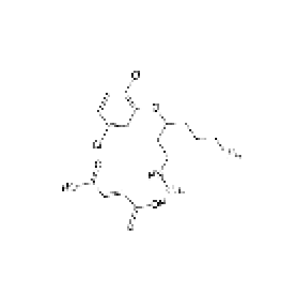 CCCCC(CCNC)Oc1cc(Cl)ccc1Cl.O=C(O)C=CC(=O)O